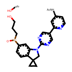 CC(=O)Nc1ccnc(-c2cnc(N3CC4(CC4)c4ccc([S+]([O-])CCCO)cc43)nc2)c1.CCCO